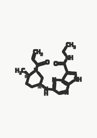 C=CC(=O)N1C[C@@H](Nc2cnc3[nH]cc(C(=O)NCC)c3n2)CC[C@H]1C